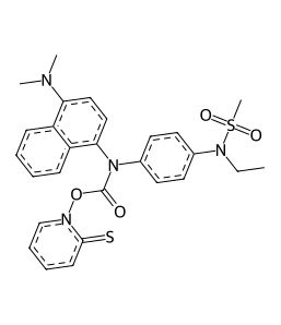 CCN(c1ccc(N(C(=O)On2ccccc2=S)c2ccc(N(C)C)c3ccccc23)cc1)S(C)(=O)=O